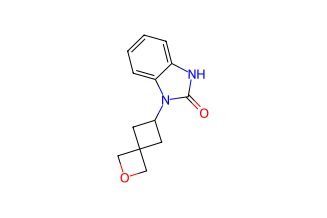 O=c1[nH]c2ccccc2n1C1CC2(COC2)C1